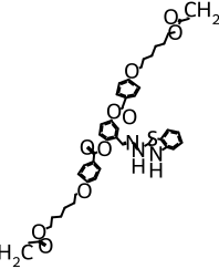 C=CC(=O)OCCCCCCOc1ccc(C(=O)Oc2ccc(OC(=O)c3ccc(OCCCCCCOC(=O)C=C)cc3)c(/C=N/NC3Nc4ccccc4S3)c2)cc1